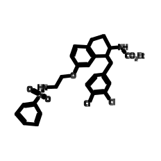 CCOC(=O)NC1CCc2ccc(OCCNS(=O)(=O)c3ccccc3)cc2C1Cc1ccc(Cl)c(Cl)c1